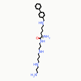 NCCCNCCCCNCCCNC(=O)[C@H](N)CCCCNCc1ccc(-c2ccccc2)cc1